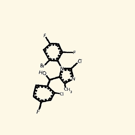 Cc1nc(Cl)n(-c2c(F)cc(F)cc2Br)c1C(O)c1ccc(F)cc1Cl